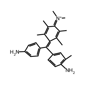 CC1=C(C)C(=[N+](C)C)C(C)=C(C)C1=C(c1ccc(N)cc1)c1ccc(N)c(C)c1